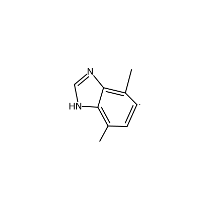 Cc1[c]cc(C)c2[nH]cnc12